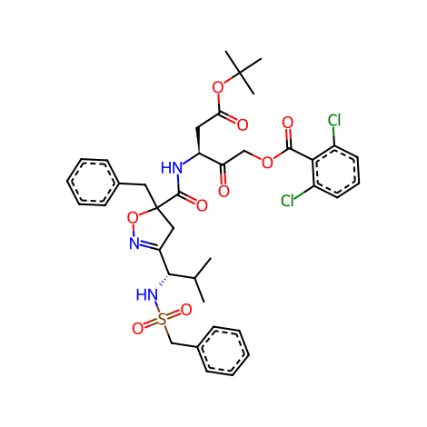 CC(C)[C@H](NS(=O)(=O)Cc1ccccc1)C1=NOC(Cc2ccccc2)(C(=O)N[C@@H](CC(=O)OC(C)(C)C)C(=O)COC(=O)c2c(Cl)cccc2Cl)C1